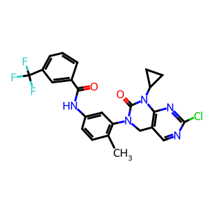 Cc1ccc(NC(=O)c2cccc(C(F)(F)F)c2)cc1N1Cc2cnc(Cl)nc2N(C2CC2)C1=O